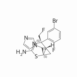 NC1=N[C@](CF)(c2cc(Br)ccc2F)[C@@H]2C[C@]2(Cn2ccnc2)S1